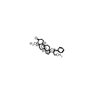 CCC(=Cc1ccccc1)[C@H]1CC[C@H]2[C@@H]3CC[C@H]4N(C)C(=O)CC[C@]4(C)[C@H]3CC[C@]12C